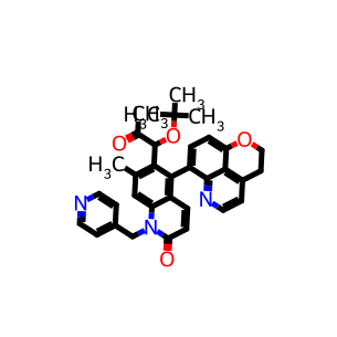 CC(=O)C(OC(C)(C)C)c1c(C)cc2c(ccc(=O)n2Cc2ccncc2)c1-c1ccc2c3c(ccnc13)CCO2